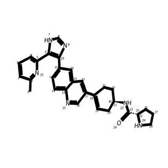 Cc1cccc(-c2[nH]cnc2-c2ccc3ncc(C4=CC[C@H](NC(=O)[C@@H]5CCCN5)CC4)cc3c2)n1